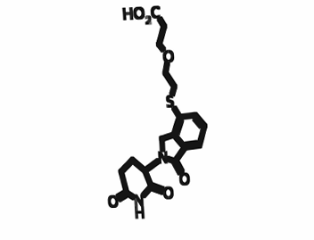 O=C(O)CCOCCSc1cccc2c1CN(C1CCC(=O)NC1=O)C2=O